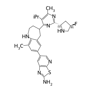 Cc1cc(-c2cnc3sc(N)nc3c2)cc2c1NCCC(c1nc([C@@H]3C[C@@H](F)CN3)nc(C)c1C(C)C)C2